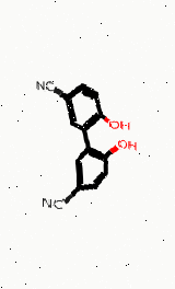 N#Cc1ccc(O)c(-c2cc(C#N)ccc2O)c1